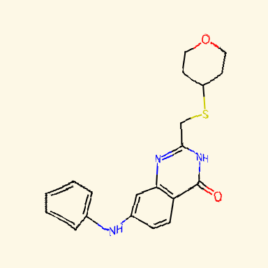 O=c1[nH]c(CSC2CCOCC2)nc2cc(Nc3ccccc3)ccc12